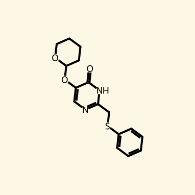 O=c1[nH]c(CSc2ccccc2)ncc1OC1CCCCO1